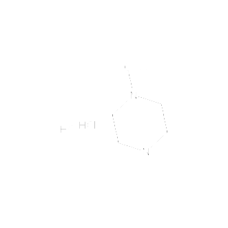 Cl.Cl.O=CN1CCNCC1